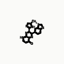 Cc1cnc(-c2nc3[nH]ccc(=O)c3nc2-c2ccc3ncsc3c2)[nH]1